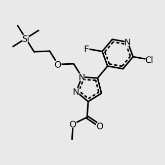 COC(=O)c1cc(-c2cc(Cl)ncc2F)n(COCC[Si](C)(C)C)n1